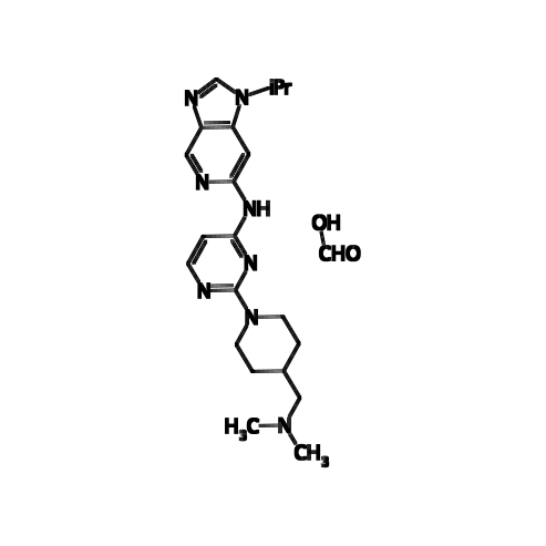 CC(C)n1cnc2cnc(Nc3ccnc(N4CCC(CN(C)C)CC4)n3)cc21.O=CO